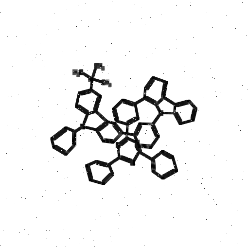 C[Si](C)(C)c1ccc2c(c1)c1cc(-c3cccc(-n4c5ccccc5c5cccc(-c6cccc(-c7nc(-c8ccccc8)nc(-c8ccccc8)n7)c6)c54)c3)ccc1n2-c1ccccc1